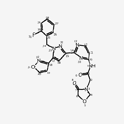 O=C(CN1COCC1=O)Nc1ccnc(-c2cc(-c3ccon3)n(Cc3ccccc3F)n2)n1